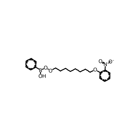 O=[N+]([O-])c1ccccc1OCCCCCCCCOOB(O)c1ccccc1